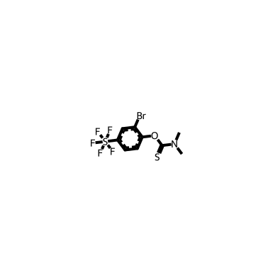 CN(C)C(=S)Oc1ccc(S(F)(F)(F)(F)F)cc1Br